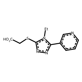 CCn1c(SCC(=O)O)nnc1-c1cccnc1